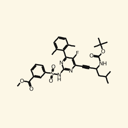 COC(=O)c1cccc(S(=O)(=O)Nc2nc(C#CC(CC(C)C)NC(=O)OC(C)(C)C)c(F)c(-c3c(C)cccc3C)n2)c1